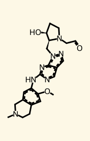 COc1cc2c(cc1Nc1ncc3cnn(C[C@H]4[C@@H](O)CCN4CC=O)c3n1)CN(C)CC2